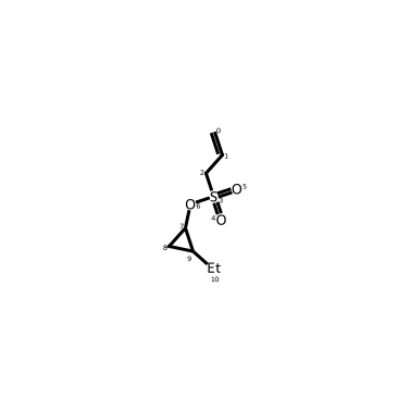 C=CCS(=O)(=O)OC1CC1CC